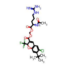 CC(=O)NC(CCCNC(=N)N)C(=O)OCOC(=O)C1=Cc2cc(Cl)c(C(C)(C)C)cc2OC1C(F)(F)F